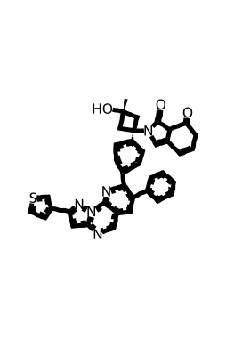 C[C@]1(O)C[C@](c2ccc(-c3nc4c(cnc5cc(-c6ccsc6)nn54)cc3-c3ccccc3)cc2)(N2C=C3C=CCC(=O)C3C2=O)C1